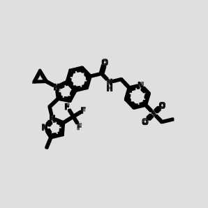 CCS(=O)(=O)c1ccc(CNC(=O)c2ccc3c(c2)cc(Cn2nc(C)cc2C(F)(F)F)n3C2CC2)nc1